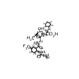 CC#C[C@H](O)[C@H](CN(Cc1ccccc1)C(=O)O)NC(=O)CNC(=O)c1cc(C(F)(F)F)ccc1NC(=O)NC(C)C